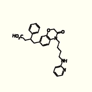 O=C(O)CC(Cc1ccc2c(c1)OCC(=O)N2CCCCNc1ccccn1)c1ccccc1